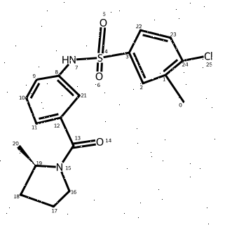 Cc1cc(S(=O)(=O)Nc2cccc(C(=O)N3CCC[C@H]3C)c2)ccc1Cl